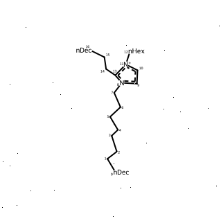 CCCCCCCCCCCCCCCCCn1cc[n+](CCCCCC)c1CCCCCCCCCCCC